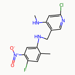 CNc1cc(Cl)ncc1CNc1cc([N+](=O)[O-])c(F)cc1C